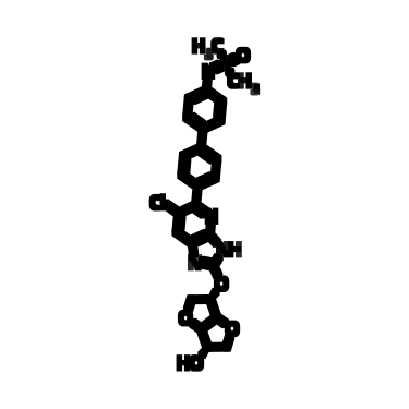 CS(C)(=O)=Nc1ccc(-c2ccc(-c3nc4[nH]c(O[C@@H]5COC6C5OC[C@H]6O)nc4cc3Cl)cc2)cc1